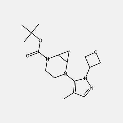 Cc1cnn(C2COC2)c1N1CCN(C(=O)OC(C)(C)C)C2CC21